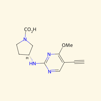 C#Cc1cnc(N[C@@H]2CCN(C(=O)O)C2)nc1OC